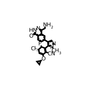 Cn1ncc(-c2ccc3c(=O)[nH]nc(CN)c3c2)c1C1=C(C#N)C(OC2CC2)=C[C@H](Cl)C1F